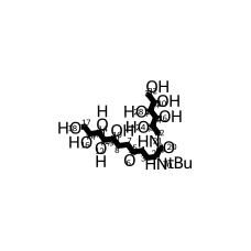 CC(C)(C)NC(CCC(=O)CC[C@H](O)[C@@H](O)[C@H](O)[C@H](O)CO)C(=O)NC[C@H](O)[C@@H](O)[C@H](O)[C@H](O)CO